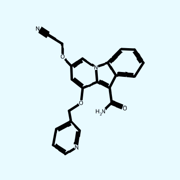 N#CCOc1cc(OCc2cccnc2)c2c(C(N)=O)c3ccccc3n2c1